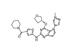 Cn1cc(-n2ccc3nc(Nc4cc(C(=O)N5CCCCC5)cs4)nc(O[C@H]4CCOC4)c32)cn1